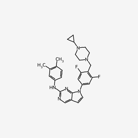 Cc1ccc(Nc2ncc3ccn(-c4cc(F)c(CN5CCN(C6CC6)CC5)c(F)c4)c3n2)cc1C